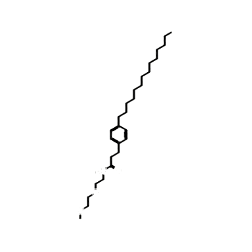 CCCCCCCCCCCCCCc1ccc(CCC(=O)NCCOCCOC)cc1